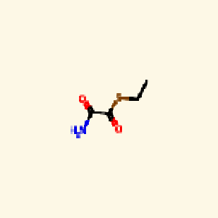 CCSC(=O)C(N)=O